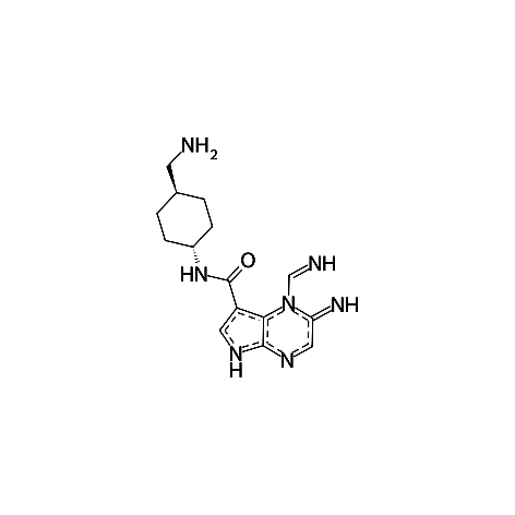 N=Cn1c(=N)cnc2[nH]cc(C(=O)N[C@H]3CC[C@H](CN)CC3)c21